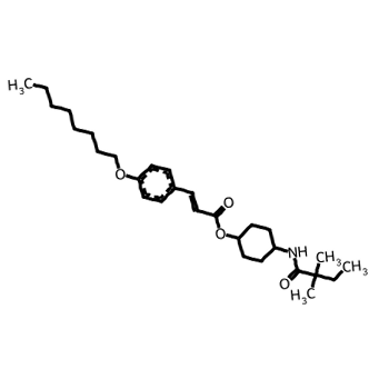 CCCCCCCCOc1ccc(/C=C/C(=O)OC2CCC(NC(=O)C(C)(C)CC)CC2)cc1